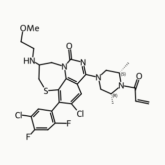 C=CC(=O)N1[C@H](C)CN(c2nc(=O)n3c4c(c(-c5cc(Cl)c(F)cc5F)c(Cl)cc24)SCC(NCCOC)C3)C[C@@H]1C